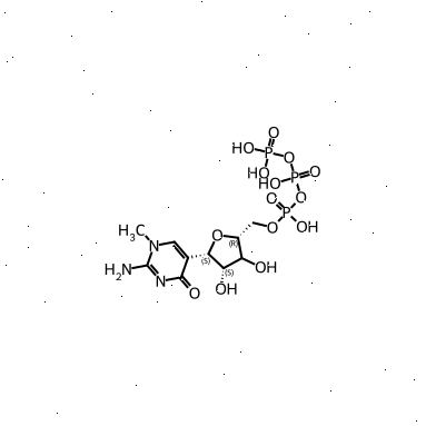 Cn1cc([C@@H]2O[C@H](COP(=O)(O)OP(=O)(O)OP(=O)(O)O)C(O)[C@@H]2O)c(=O)nc1N